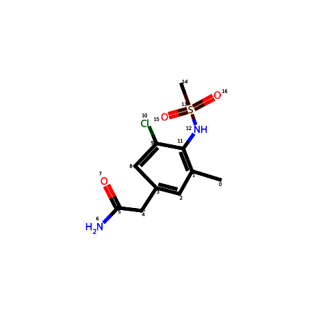 Cc1cc([CH]C(N)=O)cc(Cl)c1NS(C)(=O)=O